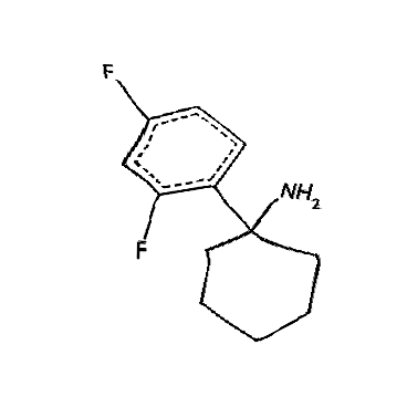 NC1(c2ccc(F)cc2F)CCCCC1